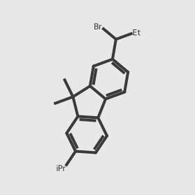 CCC(Br)c1ccc2c(c1)C(C)(C)c1cc(C(C)C)ccc1-2